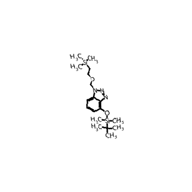 CC(C)(C)[Si](C)(C)Oc1cccc2c1nnn2COCC[Si](C)(C)C